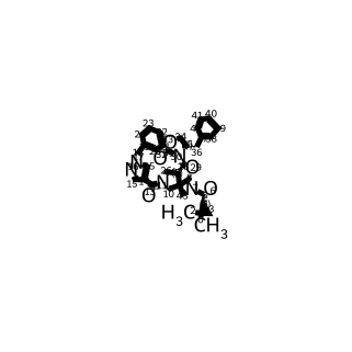 CC1(C)C[C@@H]1C(=O)N1CC2(CN(C(=O)c3cnn(Cc4ccccc4)c3)C[C@H]2C(=O)N2C(=O)OC[C@@H]2Cc2ccccc2)C1